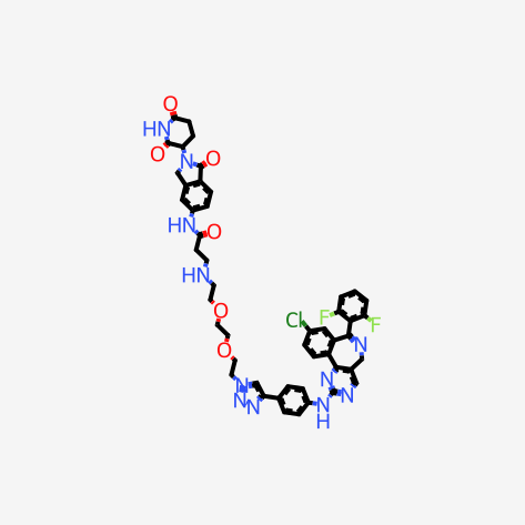 O=C1CCC(N2Cc3cc(NC(=O)CCNCCOCCOCCn4cc(-c5ccc(Nc6ncc7c(n6)-c6ccc(Cl)cc6C(c6c(F)cccc6F)=NC7)cc5)nn4)ccc3C2=O)C(=O)N1